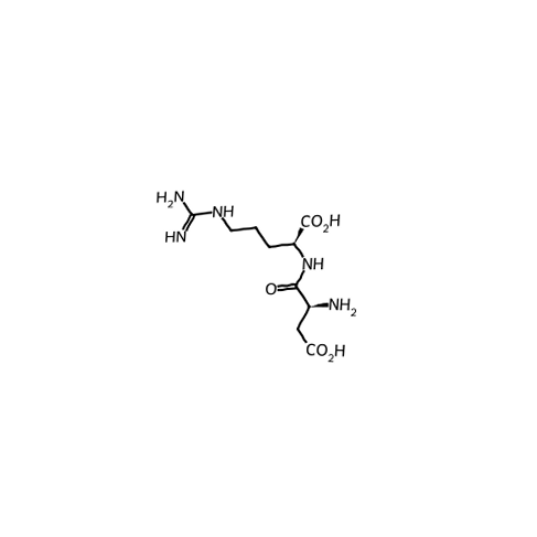 N=C(N)NCCC[C@H](NC(=O)[C@@H](N)CC(=O)O)C(=O)O